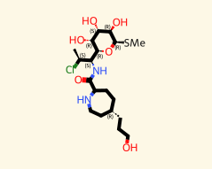 CS[C@H]1O[C@H]([C@H](NC(=O)C2CC[C@H](CCCO)CCN2)[C@H](C)Cl)[C@H](O)[C@H](O)[C@H]1O